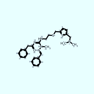 CN(C)Cc1ccc(CSCCNC(=NC(=O)Cc2ccccc2)N(C)N=Cc2ccccc2)s1